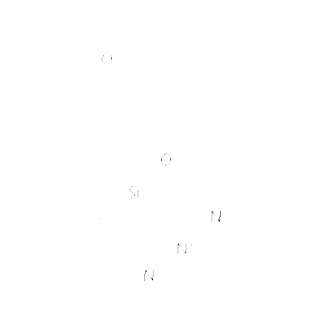 C=C[C@H](OC)[C@@H](O[Si](C)(C)C(C)(C)C)[C@H](C)/C=C(/C)CN=[N+]=[N-]